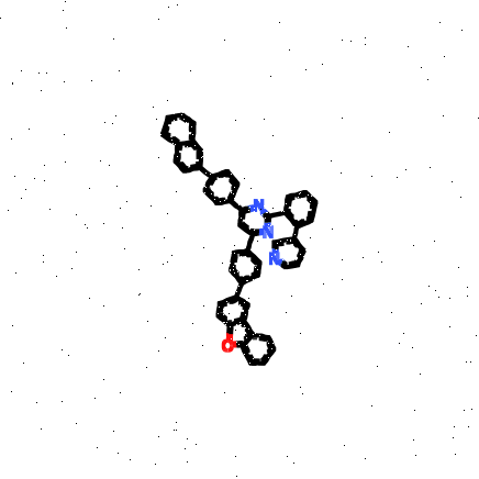 c1cncc(-c2ccccc2-c2nc(-c3ccc(-c4ccc5ccccc5c4)cc3)cc(-c3ccc(-c4ccc5oc6ccccc6c5c4)cc3)n2)c1